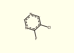 Fc1n[c]n[c]c1Cl